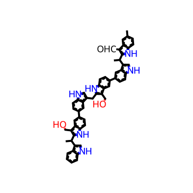 Cc1ccc2[nH]c(C(C)c3c[nH]c4ccc(-c5ccc6[nH]c(Cc7c[nH]c8ccc(-c9ccc%10[nH]c(C(C)c%11c[nH]c%12ccccc%11%12)c(CO)c%10c9)cc78)c(CO)c6c5)cc34)c(C=O)c2c1